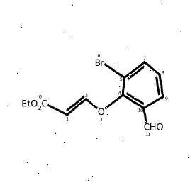 CCOC(=O)C=COc1c(Br)cccc1C=O